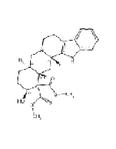 COC(=O)C1(C(=O)OC)[C@@H](O)CC[C@H]2CN3CCc4c([nH]c5ccccc45)[C@@H]3C[C@@H]21